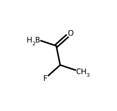 BC(=O)C(C)F